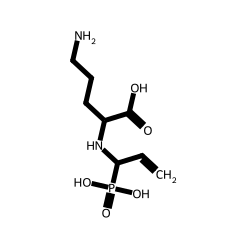 C=CC(NC(CCCN)C(=O)O)P(=O)(O)O